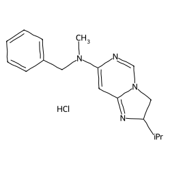 CC(C)C1CN2C=NC(N(C)Cc3ccccc3)=CC2=N1.Cl